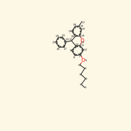 CCCCCCOc1ccc2c(c1)Oc1cc(C)ccc1C2c1ccccc1